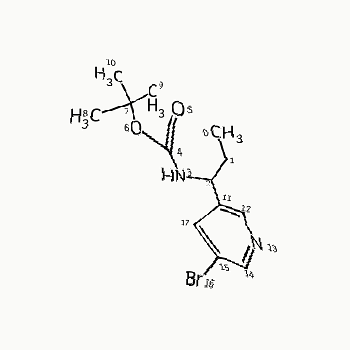 CCC(NC(=O)OC(C)(C)C)c1cncc(Br)c1